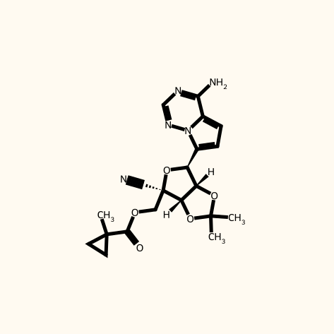 CC1(C)O[C@H]2[C@H](c3ccc4c(N)ncnn34)O[C@](C#N)(COC(=O)C3(C)CC3)[C@H]2O1